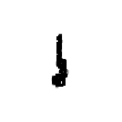 CCCCCCCCc1ccc(C[N+](C)(C)C2COC(C)(C)OC2)cc1